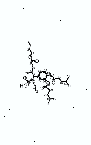 CCCCOC(=O)OCC(C)C(c1ccc(OC(=O)CCC(C)C)c(OC(=O)CCC(C)C)c1)[C@H](N)C(=O)O